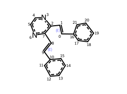 C(=C\c1nccnc1/C=C/c1ccccc1)/c1ccccc1